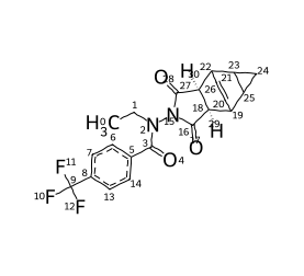 CCN(C(=O)c1ccc(C(F)(F)F)cc1)N1C(=O)[C@@H]2C3C=CC(C4CC43)[C@@H]2C1=O